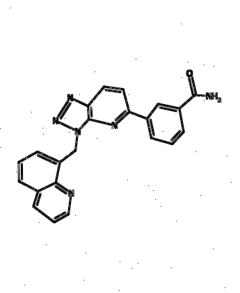 NC(=O)c1cccc(-c2ccc3nnn(Cc4cccc5cccnc45)c3n2)c1